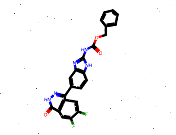 O=C(Nc1nc2cc(-c3n[nH]c(=O)c4cc(F)c(F)cc34)ccc2[nH]1)OCc1ccccc1